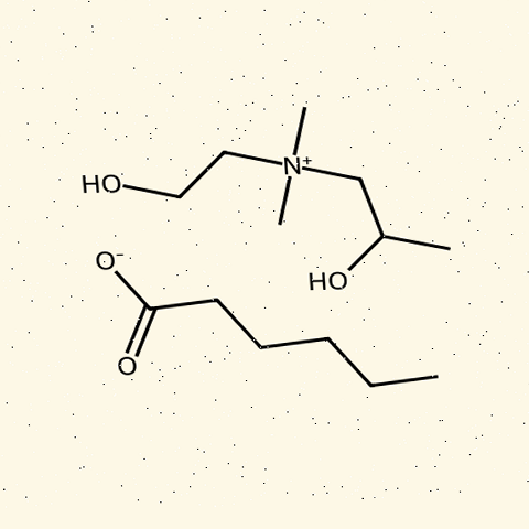 CC(O)C[N+](C)(C)CCO.CCCCCC(=O)[O-]